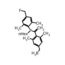 BCc1cc(C)c(C(=C)P(CCCCCC)c2c(C)cc(CF)cc2C)c(C)c1